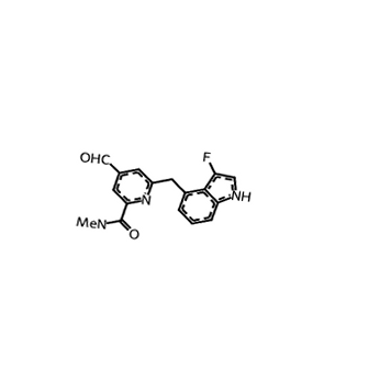 CNC(=O)c1cc(C=O)cc(Cc2cccc3[nH]cc(F)c23)n1